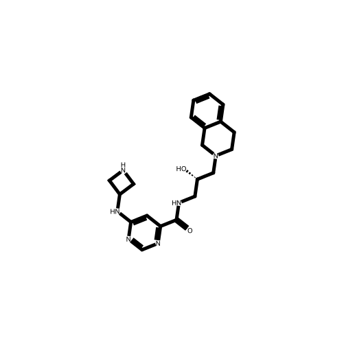 O=C(NC[C@H](O)CN1CCc2ccccc2C1)c1cc(NC2CNC2)ncn1